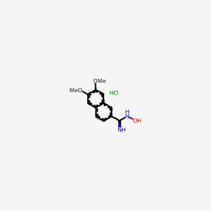 COc1cc2ccc(C(=N)NO)cc2cc1OC.Cl